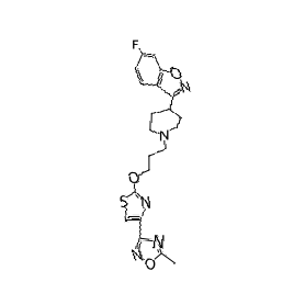 Cc1nc(-c2csc(OCCCN3CCC(c4noc5cc(F)ccc45)CC3)n2)no1